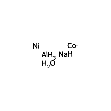 O.[AlH3].[Co].[NaH].[Ni]